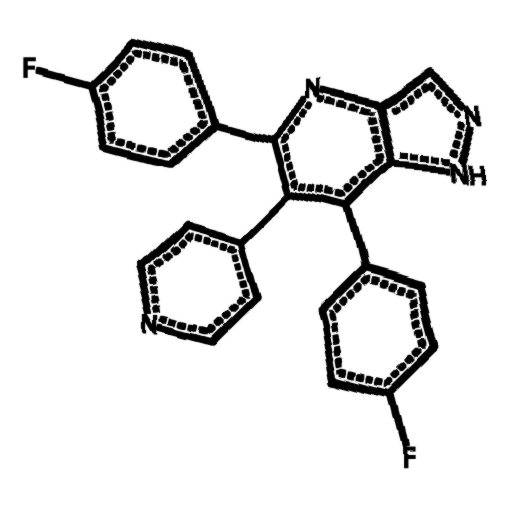 Fc1ccc(-c2nc3cn[nH]c3c(-c3ccc(F)cc3)c2-c2ccncc2)cc1